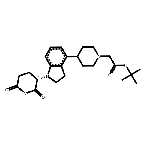 CC(C)(C)OC(=O)CN1CCC(c2cccc3c2CCN3[C@H]2CCC(=O)NC2=O)CC1